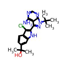 CC(C)(O)c1ccc2c(Cl)c(-c3nn(C(C)(C)C)c4ncnc(N)c34)[nH]c2c1